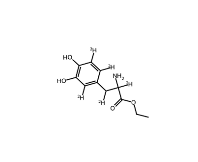 [2H]c1c([2H])c(C([2H])C([2H])(N)C(=O)OCC)c([2H])c(O)c1O